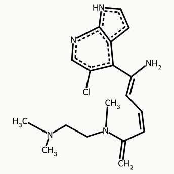 C=C(/C=C\C=C(/N)c1c(Cl)cnc2[nH]ccc12)N(C)CCN(C)C